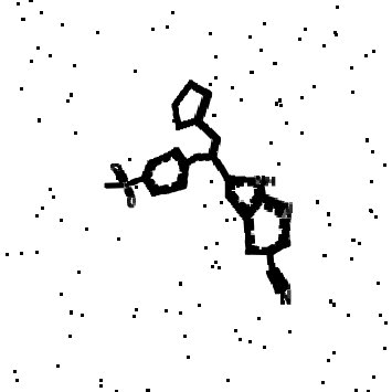 CS(=O)(=O)c1ccc(C(CC2CCCC2)c2cc3cc(C#N)cnc3[nH]2)cc1